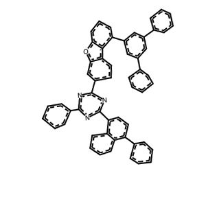 c1ccc(-c2cc(-c3ccccc3)cc(-c3cccc4oc5cc(-c6nc(-c7ccccc7)nc(-c7ccc(-c8ccccc8)c8ccccc78)n6)ccc5c34)c2)cc1